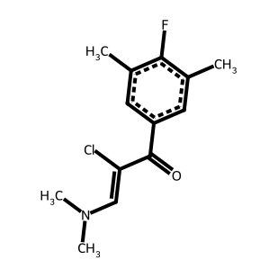 Cc1cc(C(=O)C(Cl)=CN(C)C)cc(C)c1F